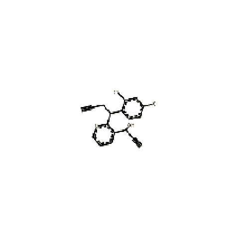 C#CCC(c1ccc(Cl)cc1Cl)c1ncccc1C(O)C#C